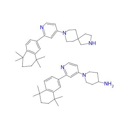 CC1(C)CCC(C)(C)c2cc(-c3cc(N4CCC(N)CC4)ccn3)ccc21.CC1(C)CCC(C)(C)c2cc(-c3cc(N4CCC5(CCNC5)CC4)ccn3)ccc21